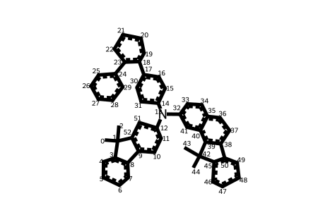 CC1(C)c2ccccc2-c2ccc(N(c3ccc(-c4ccccc4-c4ccccc4)cc3)c3ccc4ccc5c(c4c3)C(C)(C)c3ccccc3-5)cc21